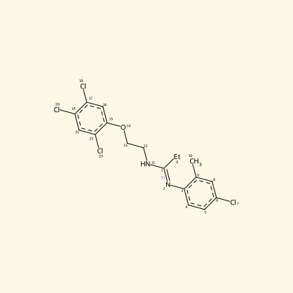 CC/C(=N\c1ccc(Cl)cc1C)NCCOc1cc(Cl)c(Cl)cc1Cl